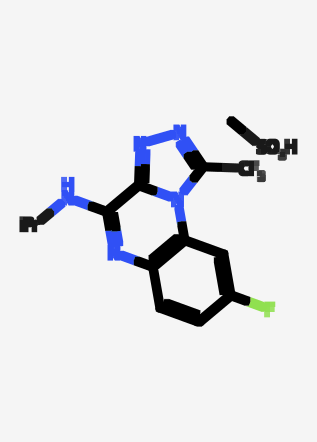 CC(C)Nc1nc2ccc(F)cc2n2c(C(F)(F)F)nnc12.CS(=O)(=O)O